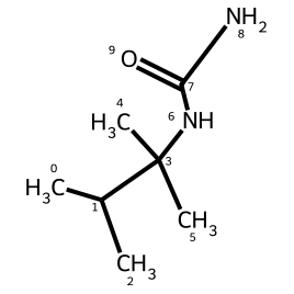 CC(C)C(C)(C)NC(N)=O